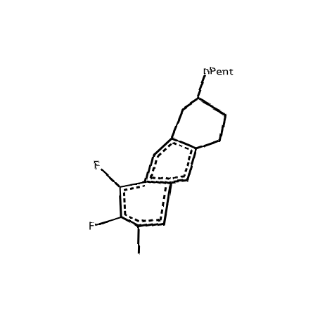 CCCCCC1CCc2cc3cc(C)c(F)c(F)c3cc2C1